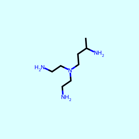 CC(N)CCN(CCN)CCN